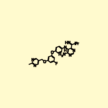 Cc1ncc(COc2cc(F)cc(Oc3ccc(Nc4c(N)ncnc4C(=N)C(C)C)cc3)c2)cn1